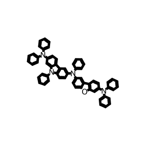 c1ccc(N(c2ccccc2)c2ccc3c(c2)oc2ccc(N(c4ccccc4)c4ccc5c(c4)c4ccc(N(c6ccccc6)c6ccccc6)cc4n5-c4ccccc4)cc23)cc1